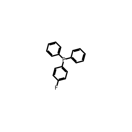 Fc1ccc(P(c2ccccc2)c2ccccc2)cc1